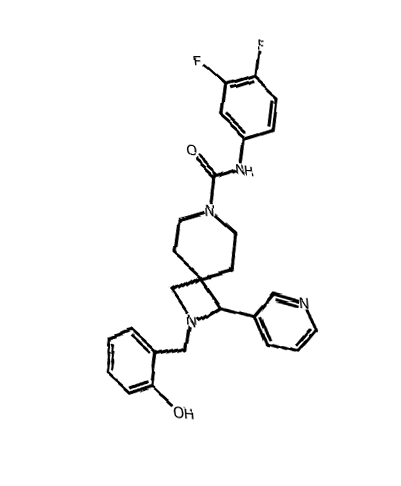 O=C(Nc1ccc(F)c(F)c1)N1CCC2(CC1)CN(Cc1ccccc1O)C2c1cccnc1